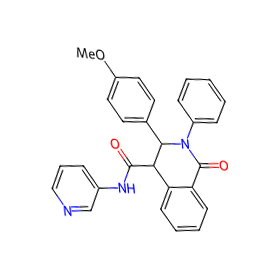 COc1ccc(C2C(C(=O)Nc3cccnc3)c3ccccc3C(=O)N2c2ccccc2)cc1